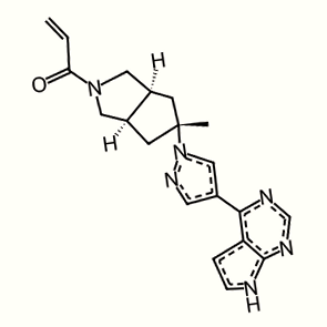 C=CC(=O)N1C[C@@H]2C[C@@](C)(n3cc(-c4ncnc5[nH]ccc45)cn3)C[C@@H]2C1